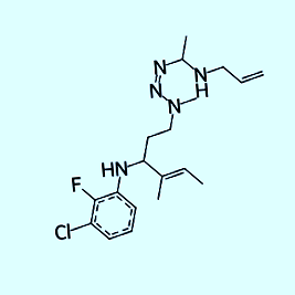 C=CCNC(C)/N=N\N(C)CCC(Nc1cccc(Cl)c1F)/C(C)=C/C